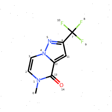 Cn1ccn2nc(C(F)(F)F)cc2c1=O